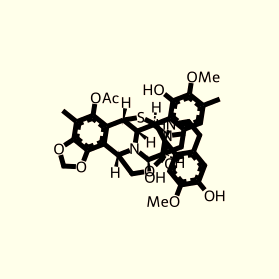 COc1cc2c(cc1O)CCN[C@@]21CS[C@H]2c3c(OC(C)=O)c(C)c4c(c3[C@@H](COC1=O)N1[C@H]2[C@H]2c3c(cc(C)c(OC)c3O)C[C@@H]([C@H]1O)N2C)OCO4